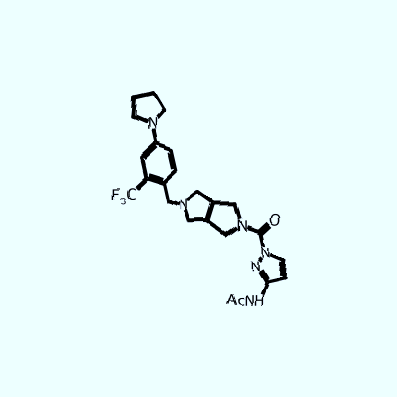 CC(=O)Nc1ccn(C(=O)N2CC3CN(Cc4ccc(N5CCCC5)cc4C(F)(F)F)CC3C2)n1